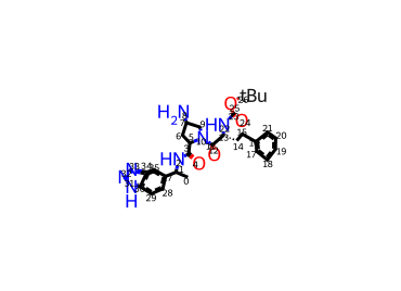 CC(NC(=O)C1CC(N)CN1C(=O)[C@@H](CCc1ccccc1)NC(=O)OC(C)(C)C)c1ccc2[nH]nnc2c1